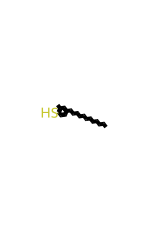 CCCCCCCCCCCCc1ccc(S)c(C)c1